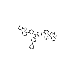 CC(C)(c1ccccc1)c1cccc(-c2ccc(N(c3ccc(-c4ccccc4)cc3)c3cccc(-c4cccc5c4oc4ccccc45)c3)cc2)c1